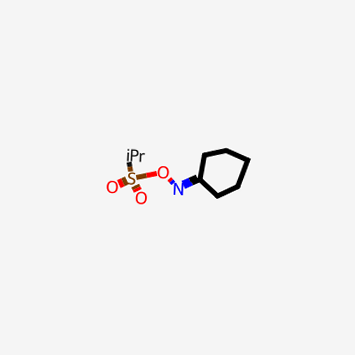 CC(C)S(=O)(=O)ON=C1CCCCC1